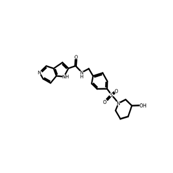 O=C(NCc1ccc(S(=O)(=O)N2CCCC(O)C2)cc1)c1cc2cnccc2[nH]1